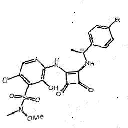 CCc1ccc([C@H](C)Nc2c(Nc3ccc(Cl)c(S(=O)(=O)N(C)OC)c3O)c(=O)c2=O)cc1